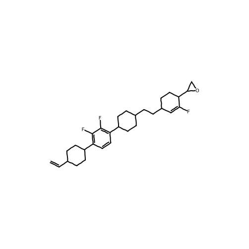 C=CC1CCC(c2ccc(C3CCC(CCC4C=C(F)C(C5CO5)CC4)CC3)c(F)c2F)CC1